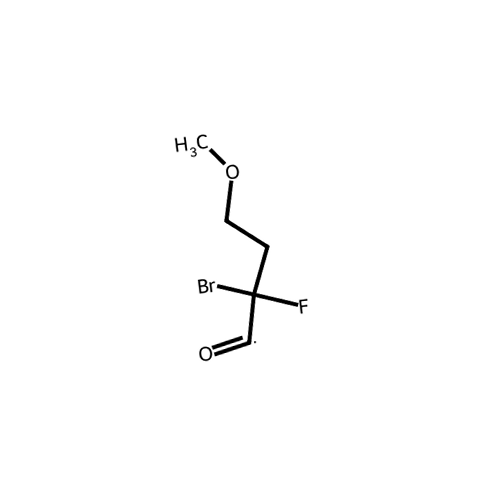 COCCC(F)(Br)[C]=O